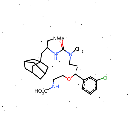 CNC[C@H](CC12CC3CC(CC(C3)C1)C2)NC(=O)N(C)CC[C@@H](OCCNC(=O)O)c1cccc(Cl)c1